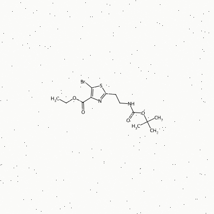 CCOC(=O)c1nc(CCNC(=O)OC(C)(C)C)sc1Br